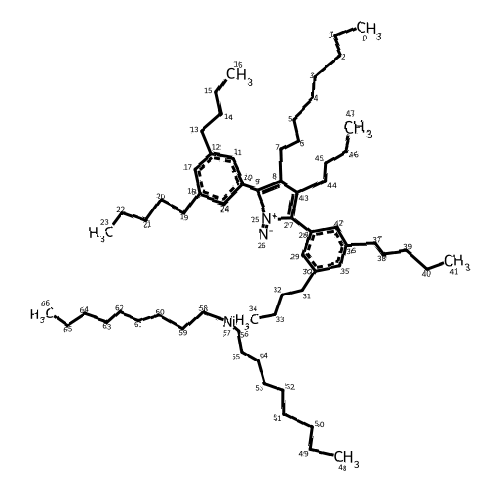 CCCCCCCCC1=C(c2cc(CCCC)cc(CCCCC)c2)[N+](=[N-])C(c2cc(CCCC)cc(CCCCC)c2)=C1CCCC.CCCCCCCC[CH2][Ni][CH2]CCCCCCCC